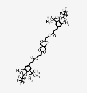 Cc1cc(CCC(=O)OCCC2OCC3(CO2)COC(CCOC(=O)CCc2cc(C)c(OC(=O)C(F)(F)C(F)(F)F)c(C(C)(C)C)c2)OC3)cc(C(C)(C)C)c1OC(=O)C(F)(F)C(F)(F)F